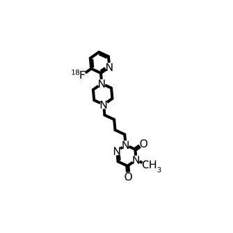 Cn1c(=O)cnn(CCCCN2CCN(c3ncccc3[18F])CC2)c1=O